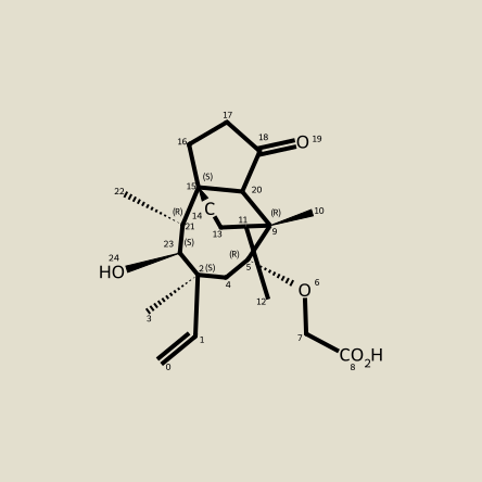 C=C[C@]1(C)C[C@@H](OCC(=O)O)[C@]2(C)C(C)CC[C@]3(CCC(=O)C32)[C@@H](C)[C@@H]1O